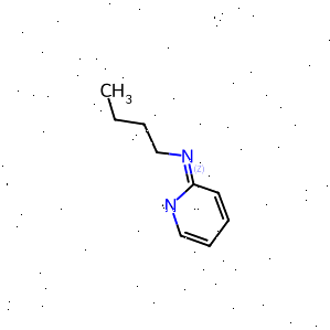 CCCC/N=C1/C=CC=C[N]1